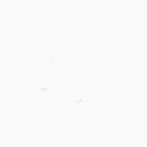 CCC(F)(F)c1cc2c(F)c(OC)c(OC)cc2s1